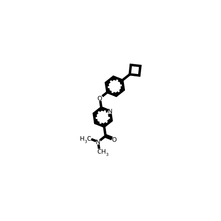 CN(C)C(=O)c1ccc(Oc2ccc(C3CCC3)cc2)nc1